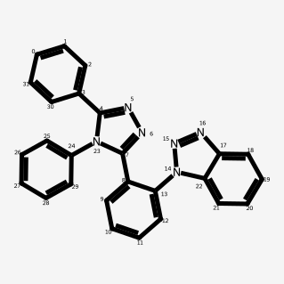 c1ccc(-c2nnc(-c3ccccc3-n3nnc4ccccc43)n2-c2ccccc2)cc1